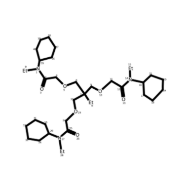 CCN(C(=O)COCC(CC)(COCC(=O)N(CC)C1CCCCC1)COCC(=O)N(CC)C1CCCCC1)C1CCCCC1